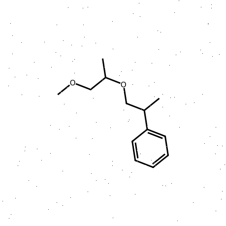 COCC(C)OCC(C)c1ccccc1